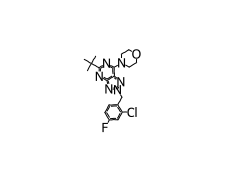 CC(C)(C)c1nc(N2CCOCC2)c2nn(Cc3ccc(F)cc3Cl)nc2n1